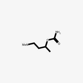 CNCCC(C)OC(N)=O